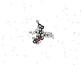 CC(C)Nc1cc(-c2ccc3cc(C#N)cnn23)ncc1-c1nnc(N2C[C@H]3CC[C@@H](C2)C3NC(=O)N2CCN(C(=O)OC(C)(C)C)CC2)s1